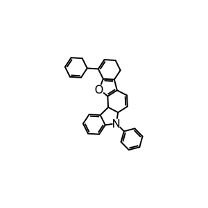 C1=CCC(C2=CCCc3c2oc2c3C=CC3C2c2ccccc2N3c2ccccc2)C=C1